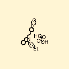 CCN1CCN(c2nc(C=Cc3ccc(N4CCOCC4)cc3)cc3ccccc23)CC1.O=C(O)C(=O)O